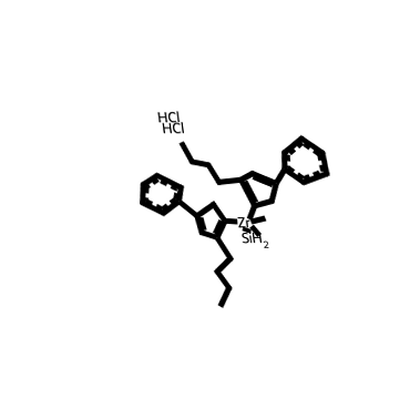 CCCCC1=[C]([Zr]([CH3])([CH3])(=[SiH2])[C]2=C(CCCC)C=C(c3ccccc3)C2)CC(c2ccccc2)=C1.Cl.Cl